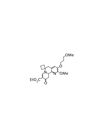 CCOC(=O)C1=CN2C(CC1=O)c1nc(OC)c(OCCCOC)cc1CC21CCC1